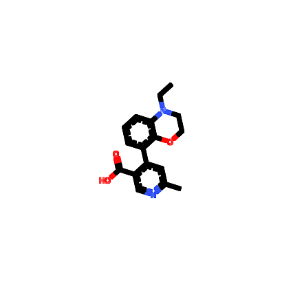 CCN1CCOc2c(-c3cc(C)ncc3C(=O)O)cccc21